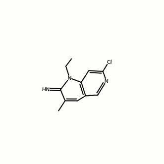 CCn1c(=N)c(C)cc2cnc(Cl)cc21